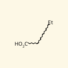 CCC=CCC=CCC=CCC=CC/C=C\CCCCCC(=O)O